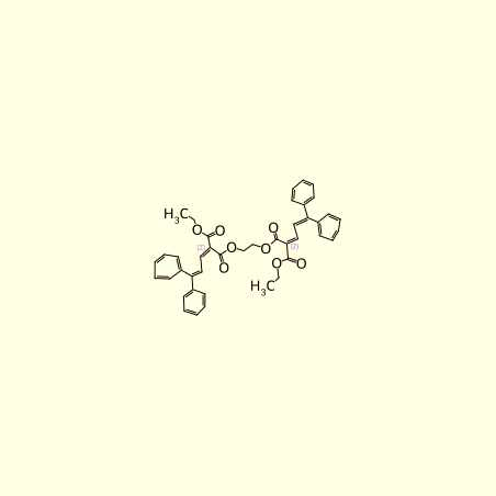 CCOC(=O)/C(=C/C=C(c1ccccc1)c1ccccc1)C(=O)OCCOC(=O)/C(=C\C=C(c1ccccc1)c1ccccc1)C(=O)OCC